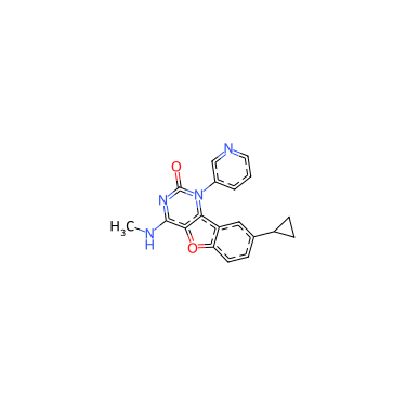 CNc1nc(=O)n(-c2cccnc2)c2c1oc1ccc(C3CC3)cc12